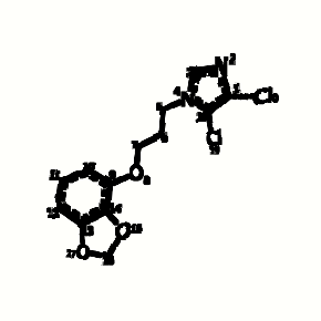 Clc1ncn(CCCOc2cccc3c2OCO3)c1Cl